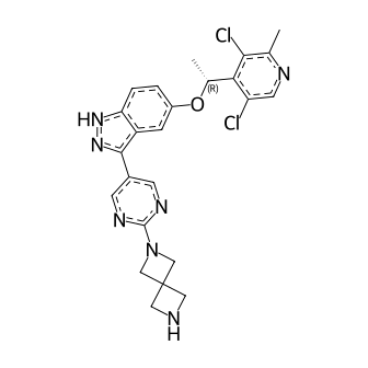 Cc1ncc(Cl)c([C@@H](C)Oc2ccc3[nH]nc(-c4cnc(N5CC6(CNC6)C5)nc4)c3c2)c1Cl